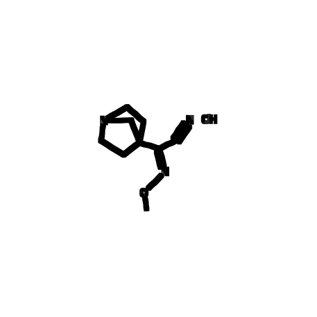 CO/N=C(/C#N)C12CCN(CC1)C2.Cl